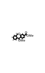 COC(=O)c1ccc2c(c1)OCc1ccccc1C2OC